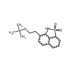 C[Si](C)(C)OCCc1ccc2cccc3c2c1NS3(=O)=O